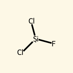 F[Si](Cl)Cl